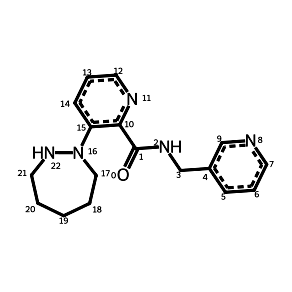 O=C(NCc1cccnc1)c1ncccc1N1CCCCCN1